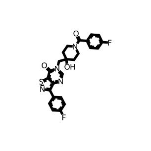 O=C(c1ccc(F)cc1)N1CCC(O)(Cn2cnc3c(-c4ccc(F)cc4)nsc3c2=O)CC1